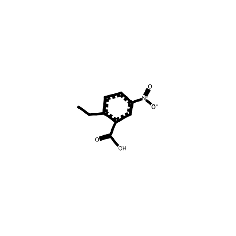 CCc1ccc([N+](=O)[O-])cc1C(=O)O